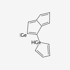 C1=CC2=CC=[C]([GeH]3[CH]=CC=[CH]3)C2=C1.[Ge]